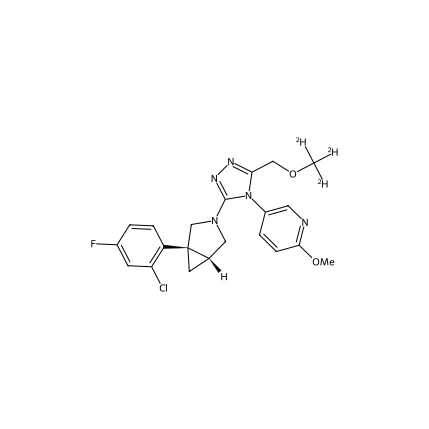 [2H]C([2H])([2H])OCc1nnc(N2C[C@@H]3C[C@]3(c3ccc(F)cc3Cl)C2)n1-c1ccc(OC)nc1